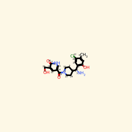 Cc1cc(O)c([C@H](N)C2CCN(C(=O)c3c[nH]c(=O)c(CO)c3)CC2)cc1Cl